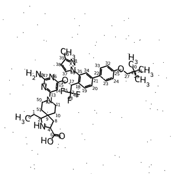 CCC1NC(C(=O)O)CC12CCN(c1cc(O[C@H](c3ccc(-c4ccc(OCC(C)(C)C)cc4)cc3-n3ccc(C)n3)C(F)(F)F)nc(N)n1)CC2